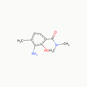 Cc1ccc(C(=O)N(C)C)c(O)c1N